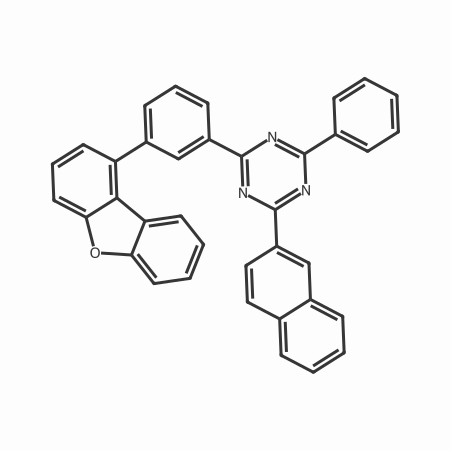 c1ccc(-c2nc(-c3cccc(-c4cccc5oc6ccccc6c45)c3)nc(-c3ccc4ccccc4c3)n2)cc1